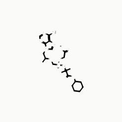 CC(C)OC(=O)COP(=O)(COC(C)Cn1cnc2c(N)ncnc21)NC(C)(C)C(=O)OC1CCCCC1